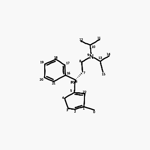 CC1=CC[CH]C([C@@H](CCN(C(C)C)C(C)C)c2ccccc2)=C1